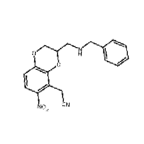 N#CCc1c([N+](=O)[O-])ccc2c1OC(CNCc1ccccc1)CO2